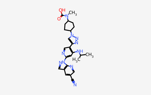 CC(C)Nc1cc(-n2ncc3cc(C#N)cnc32)ncc1-c1cn(C2CCC(N(C)C(=O)O)CC2)nn1